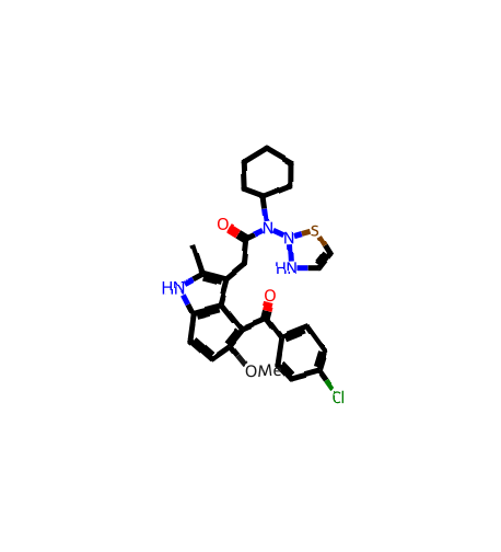 COc1ccc2[nH]c(C)c(CC(=O)N(C3CCCCC3)N3NC=CS3)c2c1C(=O)c1ccc(Cl)cc1